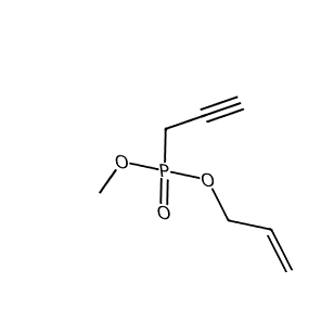 C#CCP(=O)(OC)OCC=C